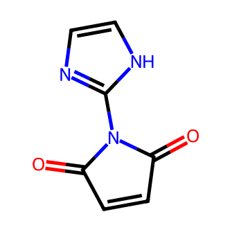 O=C1C=CC(=O)N1c1ncc[nH]1